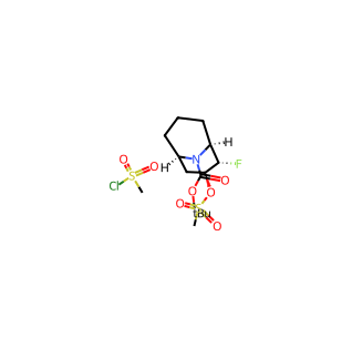 CC(C)(C)OC(=O)N1[C@@H]2CCC[C@H]1[C@H](F)[C@@H](OS(C)(=O)=O)C2.CS(=O)(=O)Cl